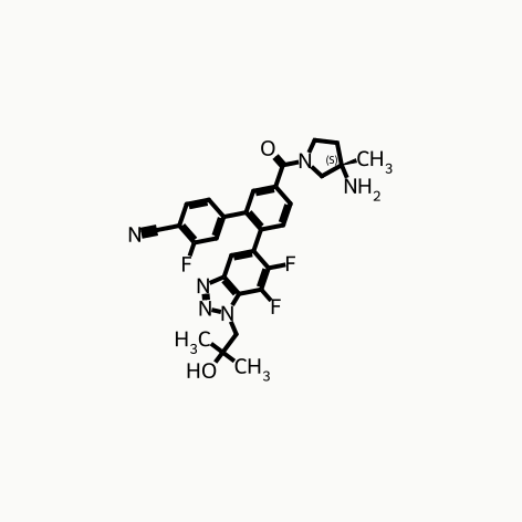 CC(C)(O)Cn1nnc2cc(-c3ccc(C(=O)N4CC[C@](C)(N)C4)cc3-c3ccc(C#N)c(F)c3)c(F)c(F)c21